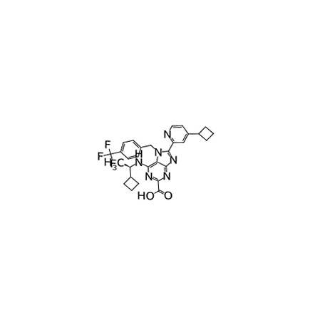 C[C@@H](Nc1nc(C(=O)O)nc2nc(-c3cc(C4CCC4)ccn3)n(Cc3ccc(C(F)(F)F)cc3)c12)C1CCC1